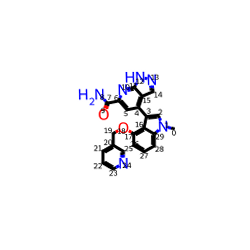 Cn1cc(-c2cc(C(N)=O)nc3[nH]ncc23)c2c(OCc3cccnc3)cccc21